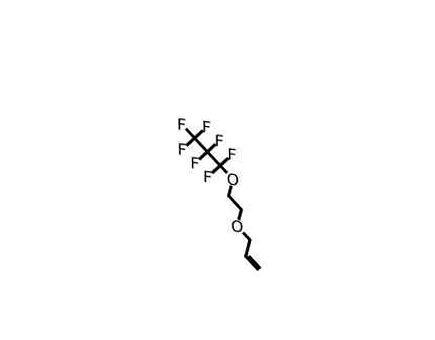 C=CCOCCOC(F)(F)C(F)(F)C(F)(F)F